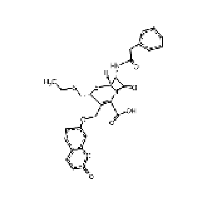 CCSC[C@@H]1S[C@@H]2[C@H](NC(=O)Cc3ccccc3)C(=O)N2C(C(=O)O)=C1COc1ccc2ccc(=O)oc2c1